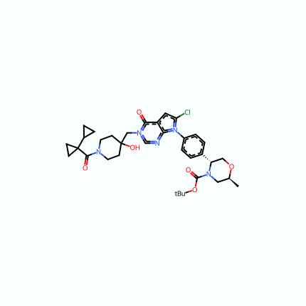 C[C@H]1CN(C(=O)OC(C)(C)C)[C@H](c2ccc(-n3c(Cl)cc4c(=O)n(CC5(O)CCN(C(=O)C6(C7CC7)CC6)CC5)cnc43)cc2)CO1